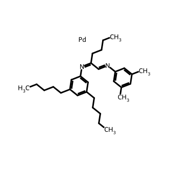 CCCCCc1cc(CCCCC)cc(N=C(C=Nc2cc(C)cc(C)c2)CCCC)c1.[Pd]